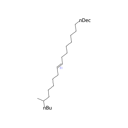 [CH2]CCCCCCCCCCCCCCCC/C=C/CCCCCC(C)CCC[CH2]